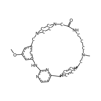 COc1cc2cc(c1)Nc1nccc(n1)-c1ccc(cc1)CN(C)CCCNC(=O)CN1CCN(CC1)C2